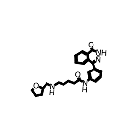 O=C(CCCCNCC1CCCO1)Nc1cccc(-c2n[nH]c(=O)c3ccccc23)c1